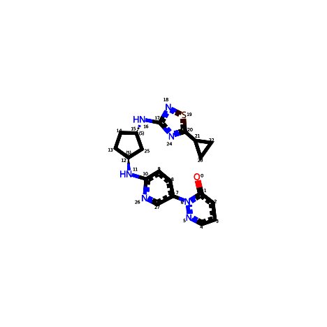 O=c1cccnn1-c1ccc(N[C@H]2CC[C@H](Nc3nsc(C4CC4)n3)C2)nc1